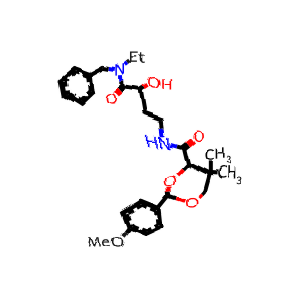 CCN(Cc1ccccc1)C(=O)C(O)CCNC(=O)C1OC(c2ccc(OC)cc2)OCC1(C)C